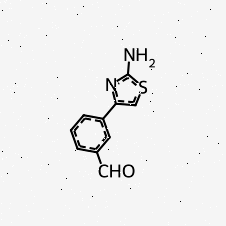 Nc1nc(-c2cccc(C=O)c2)cs1